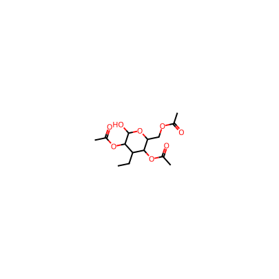 CCC1C(OC(C)=O)C(O)OC(COC(C)=O)C1OC(C)=O